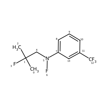 CC(C)(F)CN(F)c1cccc(C(F)(F)F)c1